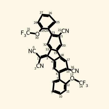 N#CC(C#N)=C1c2cc(-c3ccccc3OC(F)(F)F)c(C#N)cc2-c2cc(C#N)c(-c3ccccc3OC(F)(F)F)cc21